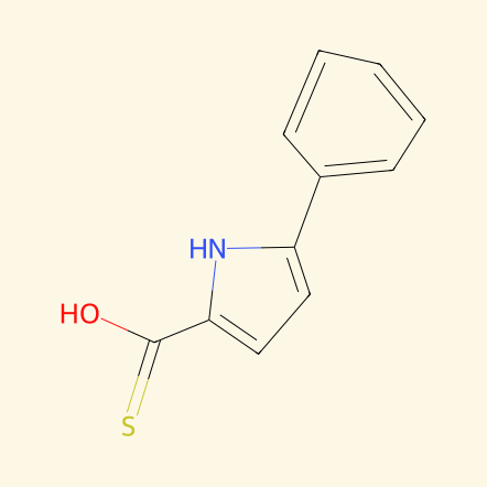 OC(=S)c1ccc(-c2ccccc2)[nH]1